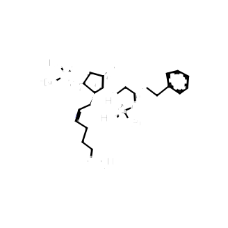 CC(C)(C)[Si](C)(C)O[C@@H](CCc1ccccc1)CC[C@@H]1[C@@H](C/C=C\CCCC(=O)O)[C@H](O[Si](C)(C)C(C)(C)C)C[C@H]1O